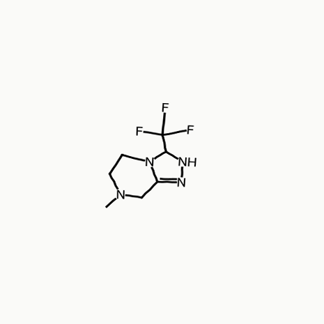 CN1CCN2C(=NNC2C(F)(F)F)C1